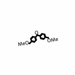 COCc1ccc(C(=O)c2ccc(COC)cc2)cc1